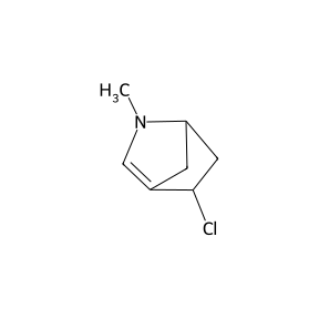 CN1C=C2CC1CC2Cl